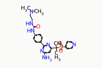 CN(C)CCNC(=O)Nc1ccc(-c2nc(N)cc(C(C)(C)S(=O)(=O)c3ccncc3)n2)cc1